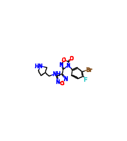 O=c1onc(-c2nonc2NCC2CCNC2)n1-c1ccc(F)c(Br)c1